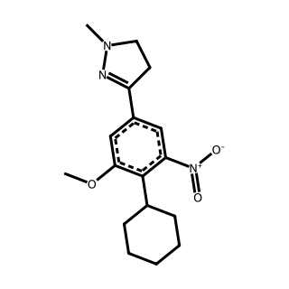 COc1cc(C2=NN(C)CC2)cc([N+](=O)[O-])c1C1CCCCC1